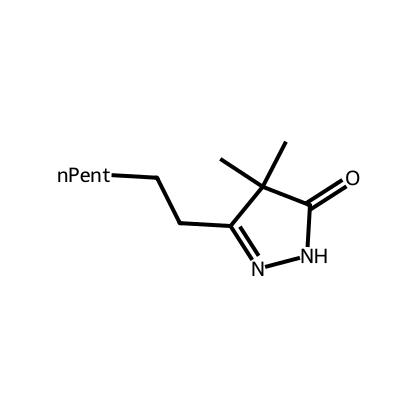 CCCCCCCC1=NNC(=O)C1(C)C